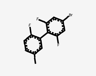 Cc1[c]cc(F)c(-c2c(F)cc(Br)cc2F)c1